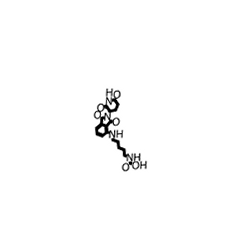 O=C(O)NCCCCCNc1cccc2c1C(=O)N(C1CCC(=O)NC1=O)C2=O